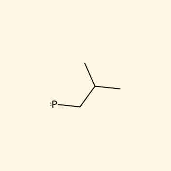 CC(C)C[P]